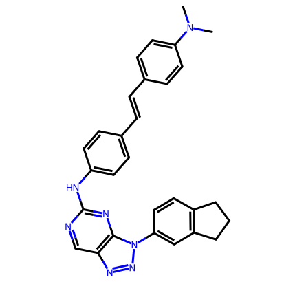 CN(C)c1ccc(/C=C/c2ccc(Nc3ncc4nnn(-c5ccc6c(c5)CCC6)c4n3)cc2)cc1